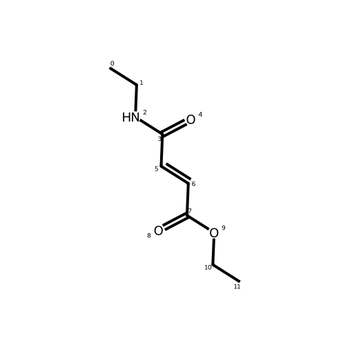 CCNC(=O)C=CC(=O)OCC